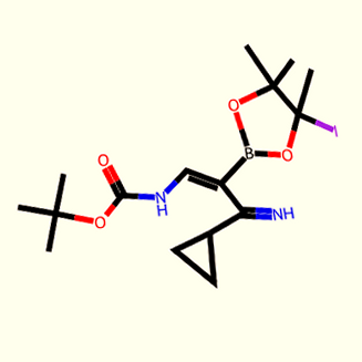 CC(C)(C)OC(=O)N/C=C(/B1OC(C)(C)C(C)(I)O1)C(=N)C1CC1